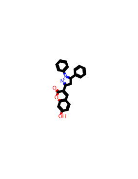 O=c1oc2cc(O)ccc2cc1C1=NN(c2ccccc2)C(c2ccccc2)C1